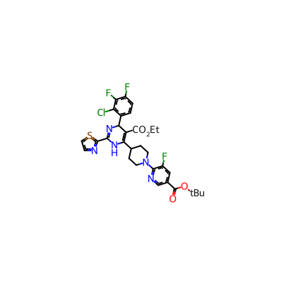 CCOC(=O)C1=C(C2CCN(c3ncc(C(=O)OC(C)(C)C)cc3F)CC2)NC(c2nccs2)=NC1c1ccc(F)c(F)c1Cl